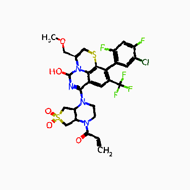 C=CC(=O)N1CCN(C2=NC(O)N3c4c2cc(C(F)(F)F)c(-c2cc(Cl)c(F)cc2F)c4SC[C@@H]3COC)C2CS(=O)(=O)CC21